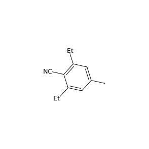 CCc1cc(C)cc(CC)c1C#N